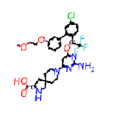 COCCOc1cccc(-c2cc(Cl)ccc2[C@@H](Oc2cc(N3CCC4(CC3)CN[C@H](C(=O)O)C4)nc(N)n2)C(F)(F)F)c1